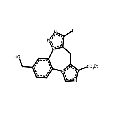 CCOC(=O)c1ncn2c1Cc1c(I)nnn1-c1cc(CO)ccc1-2